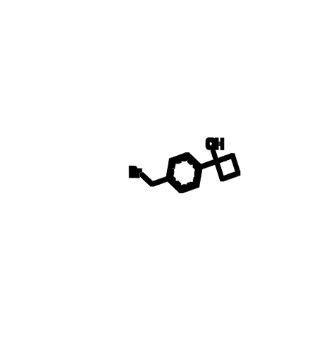 OC1(c2ccc(CBr)cc2)CCC1